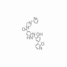 COc1ncccc1-c1ccc(O)c(-c2nc3cc(C(=O)N4CCN(Cc5ccccn5)CC4)ccc3[nH]2)c1